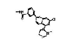 CNC(=O)c1cccc(-c2ccc3c(N4CCOC[C@@H]4C)nc(Cl)nc3n2)c1